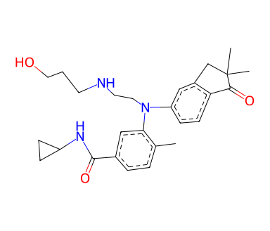 Cc1ccc(C(=O)NC2CC2)cc1N(CCNCCCO)c1ccc2c(c1)CC(C)(C)C2=O